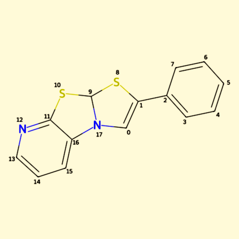 C1=C(c2ccccc2)SC2Sc3ncccc3N12